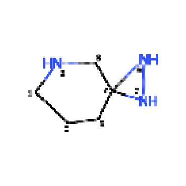 C1CNCC2(C1)NN2